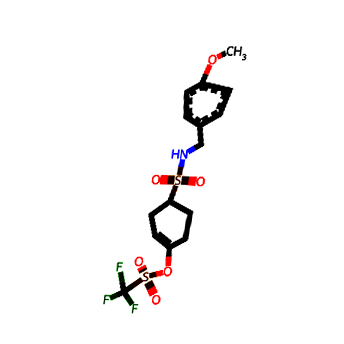 COc1ccc(CNS(=O)(=O)C2CC=C(OS(=O)(=O)C(F)(F)F)CC2)cc1